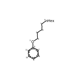 CCCCCCC[CH][CH]COc1ccccc1